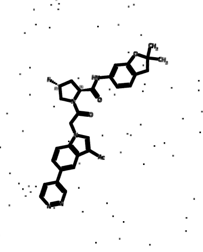 CC(=O)c1cn(CC(=O)N2C[C@H](F)C[C@H]2C(=O)Nc2ccc3c(c2)OC(C)(C)C3)c2ccc(-c3ccnnc3)cc12